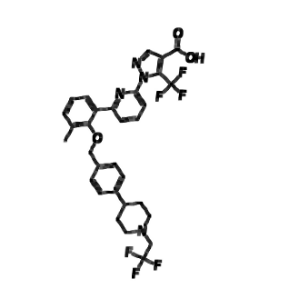 Cc1cccc(-c2cccc(-n3ncc(C(=O)O)c3C(F)(F)F)n2)c1OCc1ccc(C2CCN(CC(F)(F)F)CC2)cc1